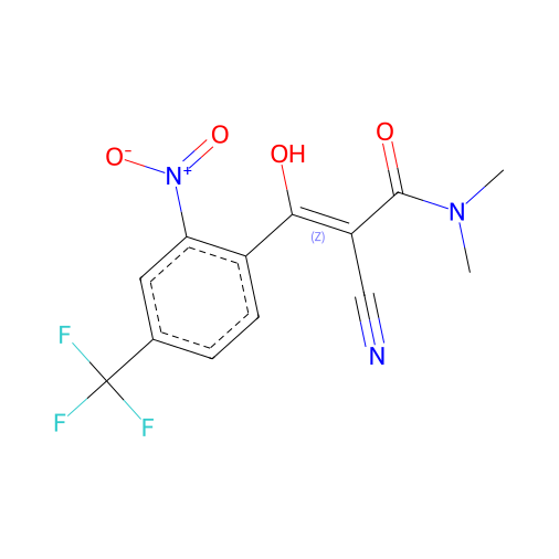 CN(C)C(=O)/C(C#N)=C(\O)c1ccc(C(F)(F)F)cc1[N+](=O)[O-]